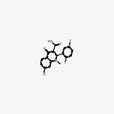 Cn1c(-c2cc(F)ccc2F)c(C(=O)O)c(=O)c2ccc(Cl)cc21